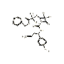 C=CCC(NC(=O)N1C(=O)C(CC)(CC)C1OC(C)(C)C(=O)OCc1ccccc1)c1ccc(C)cc1